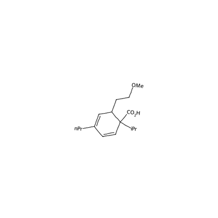 CCCC1=CC(CCOC)C(C(=O)O)(C(C)C)C=C1